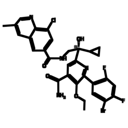 CCOc1c(C(N)=O)cc([C@@](O)(CNC(=O)c2cc(Cl)c3ncc(C)cc3c2)C2CC2)nc1-c1cc(Br)c(F)cc1F